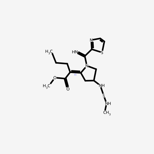 CCC/C(C(=O)OC)=C1/CC(NSNC)CN1C(=N)c1nccs1